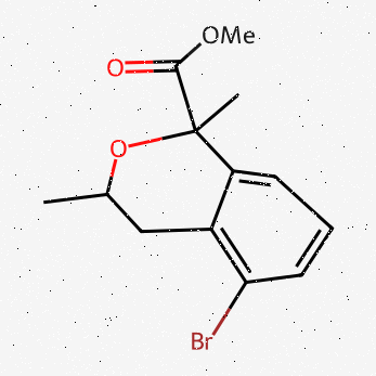 COC(=O)C1(C)OC(C)Cc2c(Br)cccc21